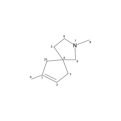 CC1=CCC2(CCN(C)C2)C1